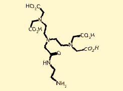 NCCNC(=O)CN(CCN(CC(=O)O)CC(=O)O)CCN(CC(=O)O)CC(=O)O